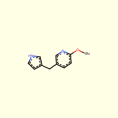 CC(C)(C)Oc1ccc(Cc2cc[nH]c2)cn1